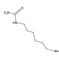 CCC(C)CCCCCCNC(N)=O